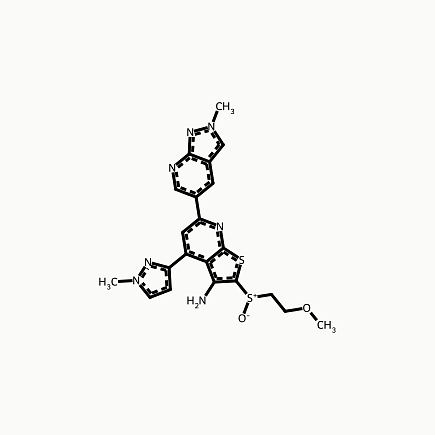 COCC[S+]([O-])c1sc2nc(-c3cnc4nn(C)cc4c3)cc(-c3ccn(C)n3)c2c1N